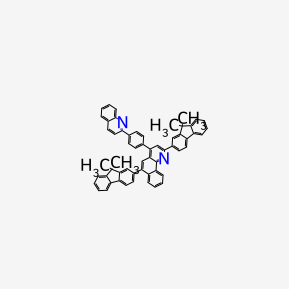 CC1(C)c2ccccc2-c2ccc(-c3cc(-c4ccc(-c5ccc6ccccc6n5)cc4)c4cc(-c5ccc6c(c5)C(C)(C)c5ccccc5-6)c5ccccc5c4n3)cc21